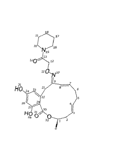 C[C@@H]1C/C=C/CC/C=C/C(=NOCC(=O)N2CCCCC2)Cc2cc(O)cc(O)c2C(=O)O1